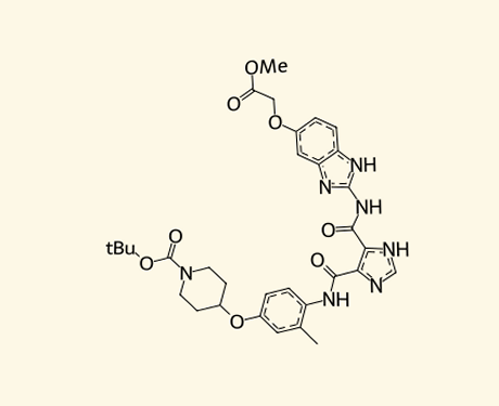 COC(=O)COc1ccc2[nH]c(NC(=O)c3[nH]cnc3C(=O)Nc3ccc(OC4CCN(C(=O)OC(C)(C)C)CC4)cc3C)nc2c1